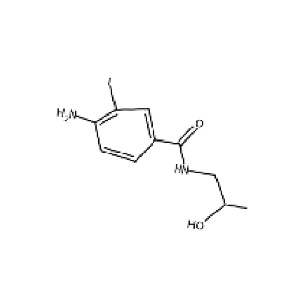 CC(O)CNC(=O)c1ccc(N)c(I)c1